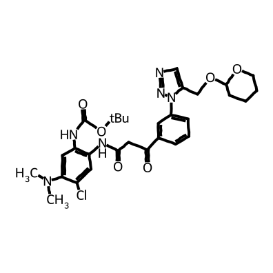 CN(C)c1cc(NC(=O)OC(C)(C)C)c(NC(=O)CC(=O)c2cccc(-n3nncc3COC3CCCCO3)c2)cc1Cl